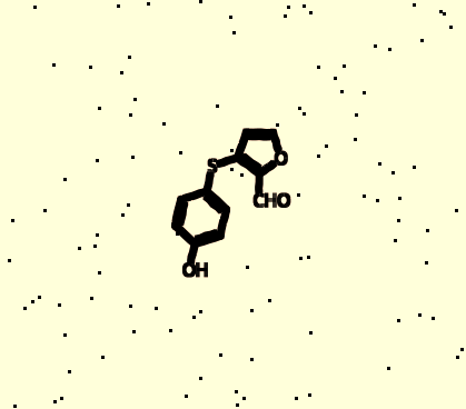 O=Cc1occc1Sc1ccc(O)cc1